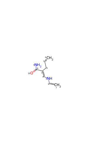 C=CC/C(=C\NC=C)C(N)=O